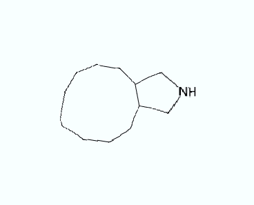 C1CCCCC2CNCC2CCC1